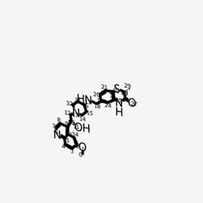 COc1ccc2nccc([C@@H](O)CN3CCC(NCc4ccc5c(c4)NC(=O)[C@@H](C)S5)CC3)c2c1